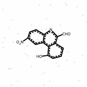 O=Cc1nc2ccc([N+](=O)[O-])cc2c2c(O)cccc12